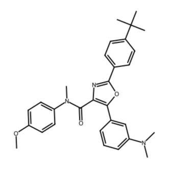 COc1ccc(N(C)C(=O)c2nc(-c3ccc(C(C)(C)C)cc3)oc2-c2cccc(N(C)C)c2)cc1